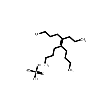 CCCCC(CCC)=C(CCCC)CCCC.O=P(O)(O)O